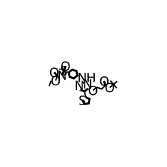 CCOC(=O)N=S(C)(=O)c1ccc(Nc2ncc(-c3cccs3)c(OCCC(=O)OC(C)(C)C)n2)cc1